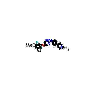 CCc1cc(OC)c(F)c(COc2cnc(Nc3ccc(C4CCN(C)CC4)cc3)nc2)c1F